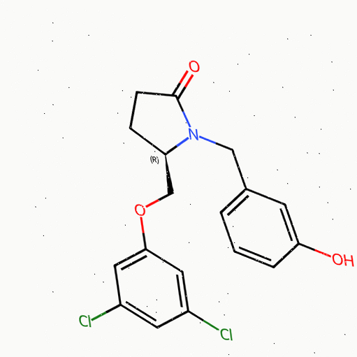 O=C1CC[C@H](COc2cc(Cl)cc(Cl)c2)N1Cc1cccc(O)c1